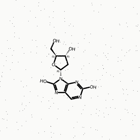 OC[C@@H]1O[C@@H](n2c(O)nc3cnc(O)nc32)C[C@H]1O